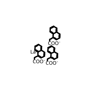 O=C([O-])Cc1cccc2ccccc12.O=C([O-])Cc1cccc2ccccc12.O=C([O-])Cc1cccc2ccccc12.[La+3]